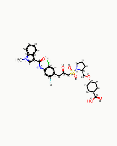 Cn1cc(C(=O)Nc2cc(F)c(CC(=O)CS(=O)(=O)N3CCC[C@H]3CO[C@H]3CC[C@H](C(=O)O)CC3)cc2Cl)c2ccccc21